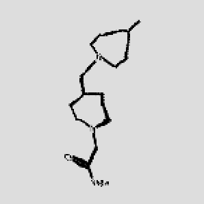 CNC(=O)CN1CCC(CN2CCC(C)CC2)CC1